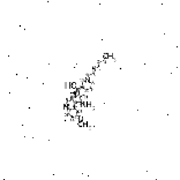 CCCCSCCN1CCC(CCC(N)c2c(Cl)cnc3ccc(OC)cc23)C(C(=O)O)C1